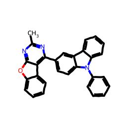 Cc1nc(-c2ccc3c(c2)c2ccccc2n3-c2ccccc2)c2c(n1)oc1ccccc12